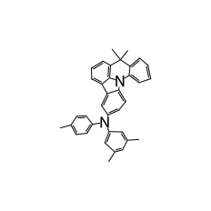 Cc1ccc(N(c2cc(C)cc(C)c2)c2ccc3c(c2)c2cccc4c2n3-c2ccccc2C4(C)C)cc1